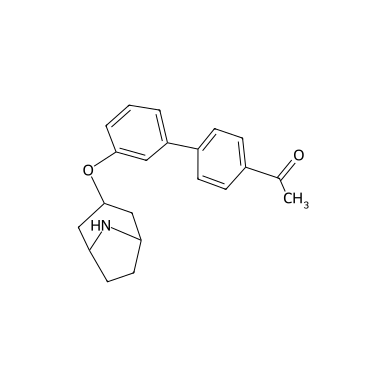 CC(=O)c1ccc(-c2cccc(OC3CC4CCC(C3)N4)c2)cc1